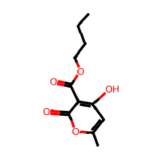 CCCCOC(=O)c1c(O)cc(C)oc1=O